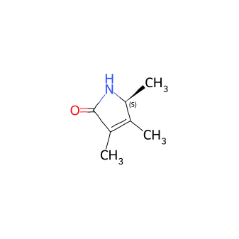 CC1=C(C)[C@H](C)NC1=O